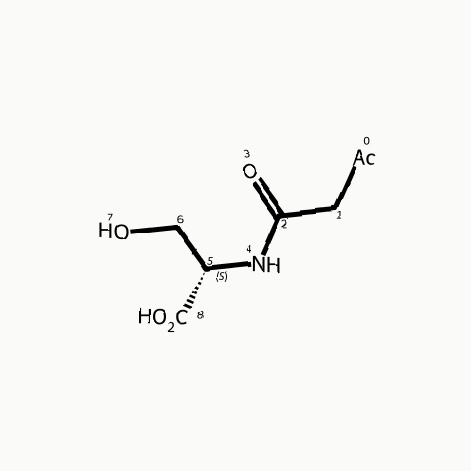 CC(=O)CC(=O)N[C@@H](CO)C(=O)O